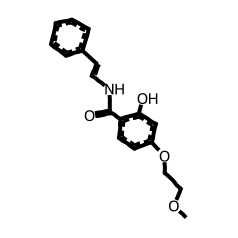 COCCOc1ccc(C(=O)NC=Cc2ccccc2)c(O)c1